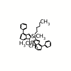 CCCCCC[Si]1(C)C2=Cc3c(-c4ccccc4)cccc3[CH]2[Hf]([CH3])([CH3])[CH]2C1=Cc1c(-c3ccccc3)cccc12